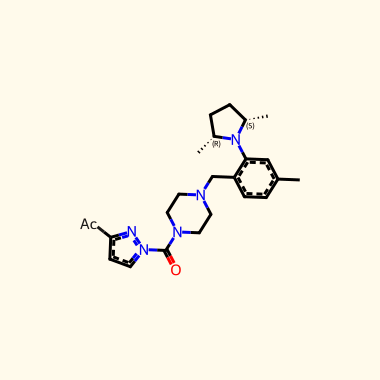 CC(=O)c1ccn(C(=O)N2CCN(Cc3ccc(C)cc3N3[C@H](C)CC[C@@H]3C)CC2)n1